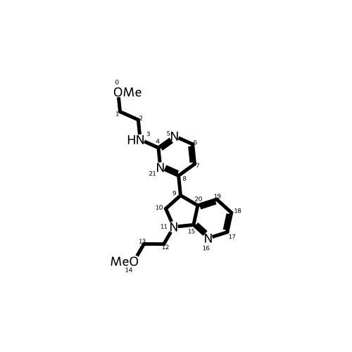 COCCNc1nccc(C2CN(CCOC)c3ncccc32)n1